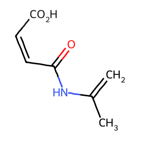 C=C(C)NC(=O)/C=C\C(=O)O